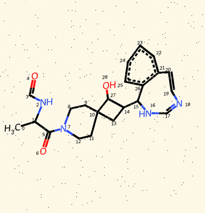 CC(NC=O)C(=O)N1CCC2(CC1)CC(C1N/C=N\C=C\c3ccccc31)C2O